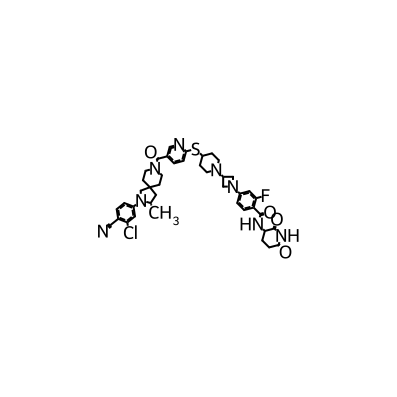 C[C@@H]1CC2(CCN(C(=O)c3ccc(SC4CCN(C5CN(c6ccc(C(=O)NC7CCC(=O)NC7=O)c(F)c6)C5)CC4)nc3)CC2)CN1c1ccc(C#N)c(Cl)c1